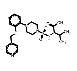 CC(C)[C@@H](NS(=O)(=O)N1CCN(c2ccccc2OCc2ccncc2)CC1)C(=O)O